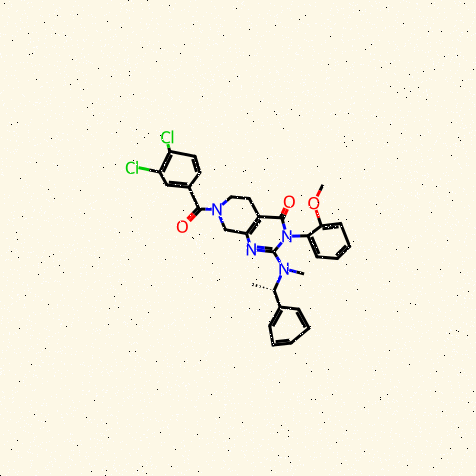 COc1ccccc1-n1c(N(C)[C@@H](C)c2ccccc2)nc2c(c1=O)CCN(C(=O)c1ccc(Cl)c(Cl)c1)C2